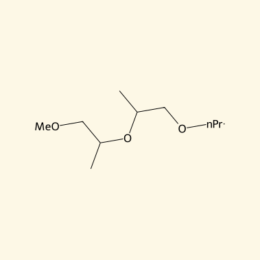 C[CH][CH]OCC(C)OC(C)COC